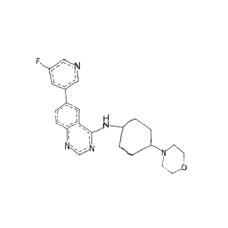 Fc1cncc(-c2ccc3ncnc(NC4CCC(N5CCOCC5)CC4)c3c2)c1